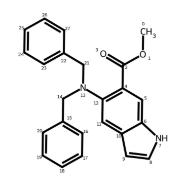 COC(=O)c1cc2[nH]ccc2cc1N(Cc1ccccc1)Cc1ccccc1